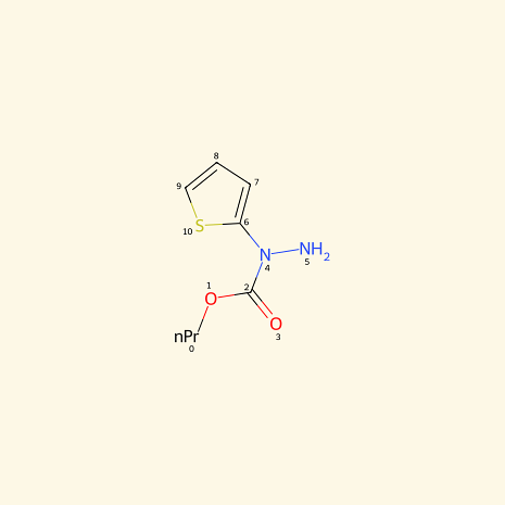 CCCOC(=O)N(N)c1cccs1